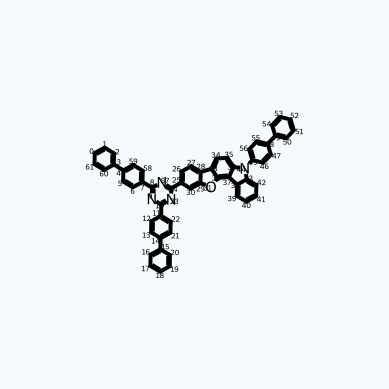 c1ccc(-c2ccc(-c3nc(-c4ccc(-c5ccccc5)cc4)nc(-c4ccc5c(c4)oc4c5ccc5c4c4ccccc4n5-c4ccc(-c5ccccc5)cc4)n3)cc2)cc1